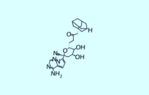 N#C[C@]1(c2ccc3c(N)ncnn23)C[C@H](O)[C@H](O)[C@@H](CCC(=O)C[C@]23CC4CC(C[C@@H](C4)C2)C3)O1